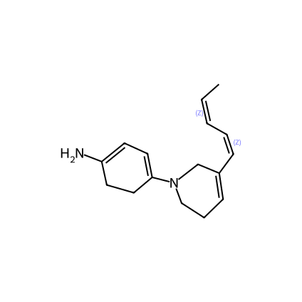 C/C=C\C=C/C1=CCCN(C2=CC=C(N)CC2)C1